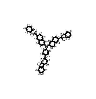 c1ccc2oc(-c3ccc4cc(N(c5ccc(-c6ccc7c(n6)oc6ccccc67)cc5)c5ccc6cc(-c7nc8ccccc8o7)ccc6c5)ccc4c3)nc2c1